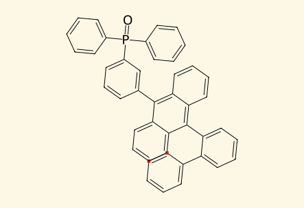 O=P(c1ccccc1)(c1ccccc1)c1cccc(-c2c3ccccc3c(-c3ccccc3-c3ccccc3)c3ccccc23)c1